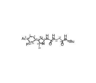 CC(=O)c1ccc(-c2sc(NC(=O)NCCC(=O)NC(C)(C)C)nc2C)cc1F